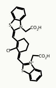 O=C(O)CN1/C(=C\C2=C(Cl)C(=C/c3sc4ccccc4[n+]3CC(=O)O)/CCC2)Sc2ccccc21